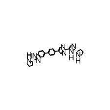 c1cc(-c2ccc3[nH]c([C@@H]4CCCN4)nc3c2)ccc1-c1cnc(-c2cnc([C@@H]3CCCN3)[nH]2)nc1